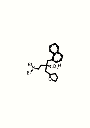 CCN(CC)CCC(Cc1cccc2ccccc12)(CC1CCCO1)C(=O)O